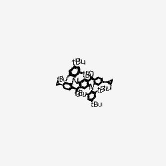 CC(C)(C)c1cc(C(C)(C)C)c(-n2c3cc(C4CC4)ccc3c(=O)c3cc4c(cc32)c(=O)c2ccc(C3CC3)cc2n4-c2c(C(C)(C)C)cc(C(C)(C)C)cc2C(C)(C)C)c(C(C)(C)C)c1